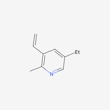 C=Cc1cc(CC)cnc1C